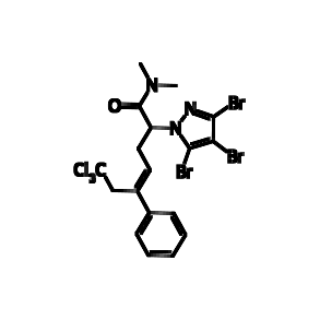 CN(C)C(=O)C(CC=C(CC(Cl)(Cl)Cl)c1ccccc1)n1nc(Br)c(Br)c1Br